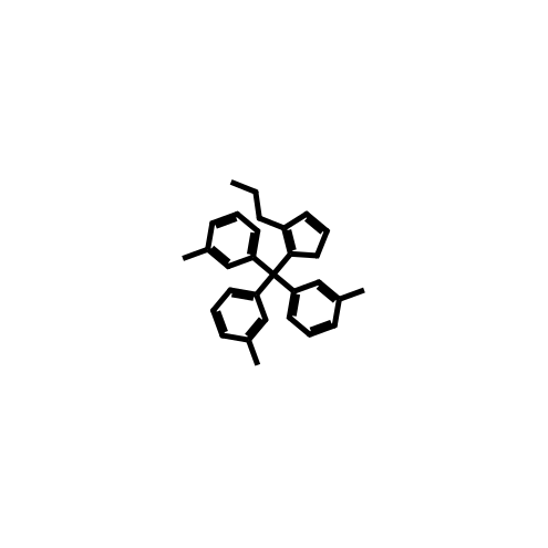 CCCC1=C(C(c2cccc(C)c2)(c2cccc(C)c2)c2cccc(C)c2)CC=C1